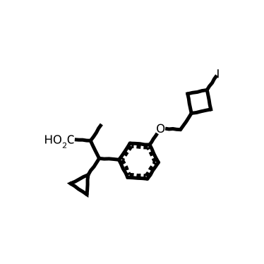 CC(C(=O)O)C(c1cccc(OCC2CC(I)C2)c1)C1CC1